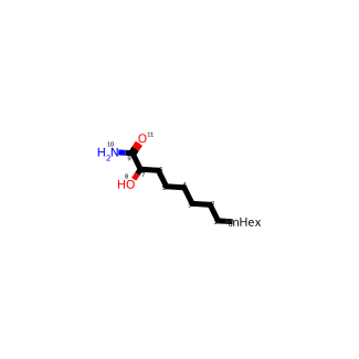 CCCCCCCCCCC[CH]C(O)C(N)=O